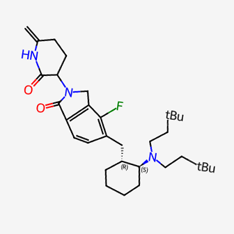 C=C1CCC(N2Cc3c(ccc(C[C@H]4CCCC[C@@H]4N(CCC(C)(C)C)CCC(C)(C)C)c3F)C2=O)C(=O)N1